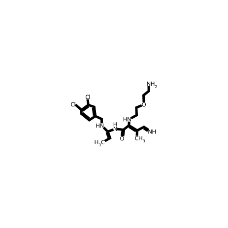 C/C=C(\NCc1ccc(Cl)c(Cl)c1)NC(=O)/C(NCCOCCN)=C(\C)C=N